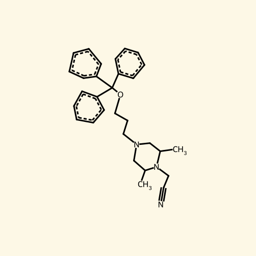 CC1CN(CCCOC(c2ccccc2)(c2ccccc2)c2ccccc2)CC(C)N1CC#N